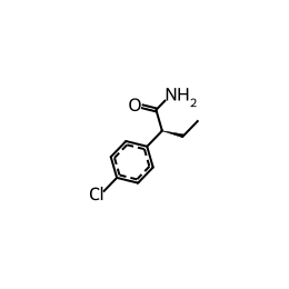 CC[C@H](C(N)=O)c1ccc(Cl)cc1